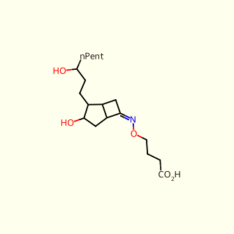 CCCCCC(O)CCC1C(O)CC2C(=NOCCCC(=O)O)CC21